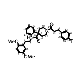 COc1ccc(OC)c(CCNC(=O)C2(c3ccccc3)CCN(C(=O)CCc3ccc(F)cc3)CC2)c1